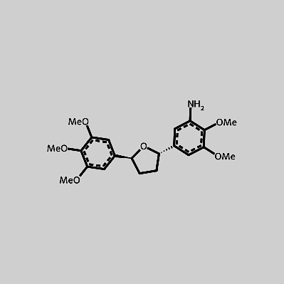 COc1cc([C@@H]2CC[C@@H](c3cc(OC)c(OC)c(OC)c3)O2)cc(N)c1OC